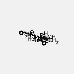 CCCC(=O)N(CCC(=O)NC[C@@H](S)Cc1ccccc1)Cc1ccc(-c2ccccc2)c(S(=O)(=O)NC(=O)[C@H](C)O)c1F